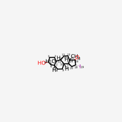 C[C@]12CC[C@H](O)C[C@H]1CC[C@@H]1[C@@H]2CC[C@]2(C)C(=O)[C@H](I)C[C@@H]12